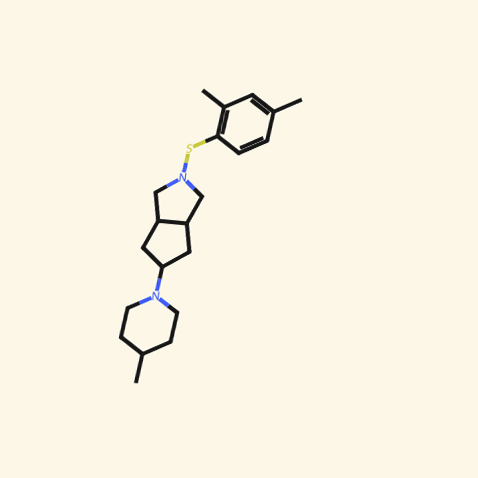 Cc1ccc(SN2CC3CC(N4CCC(C)CC4)CC3C2)c(C)c1